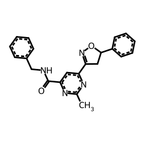 Cc1nc(C(=O)NCc2ccccc2)cc(C2=NOC(c3ccccc3)C2)n1